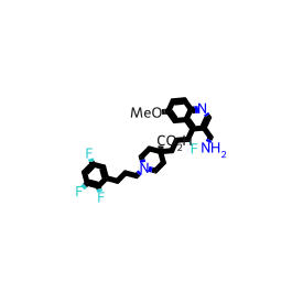 COc1ccc2ncc(CN)c([C@H](F)CCC3(C(=O)O)CCN(CCCc4cc(F)cc(F)c4F)CC3)c2c1